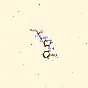 COC(=O)Nc1nc2cc(Nc3ccccc3[N+](=O)[O-])cnc2[nH]1